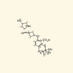 O=C(O)c1c(OC2CN(C(=O)[C@@H]3C[C@H](O)CN3)C2)ccc2c1O[B-](O)(O)[C@@H]1CC21